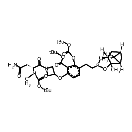 CN(C(=O)OC(C)(C)C)[C@H](CC(N)=O)C(=O)N1CC(Oc2ccc(CCB3O[C@@H]4C[C@@H]5C[C@@H](C5(C)C)[C@]4(C)O3)c(OC(=O)OC(C)(C)C)c2C(=O)OC(C)(C)C)C1